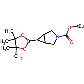 CC(C)(C)OC(=O)N1CC2C(C1)C2B1OC(C)(C)C(C)(C)O1